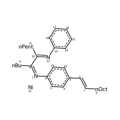 CCCCCCCCC=Cc1ccc(N=C(CCCC)C(CCCCC)=Nc2ccccc2)cc1.[Ni]